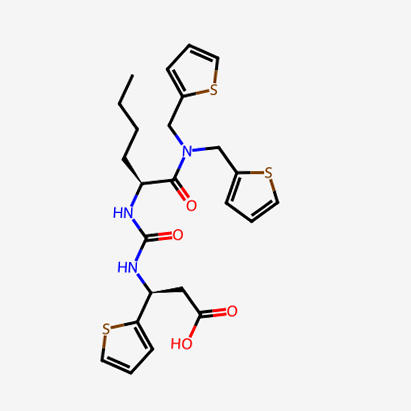 CCCC[C@H](NC(=O)N[C@@H](CC(=O)O)c1cccs1)C(=O)N(Cc1cccs1)Cc1cccs1